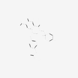 CC(=O)Nc1ccc(CN2CN(CC3(C)C=CC(C)=CC3)C(=O)c3c(O)c(=O)c(C(=O)O)cn32)cc1